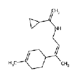 C=C(NC/C=C(/C)C1CC=C(C)CC1)C1CC1